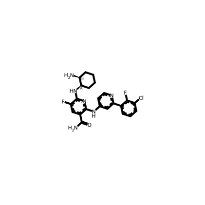 NC(=O)c1cc(F)c(N[C@@H]2CCCC[C@@H]2N)nc1Nc1ccnc(-c2cccc(Cl)c2F)c1